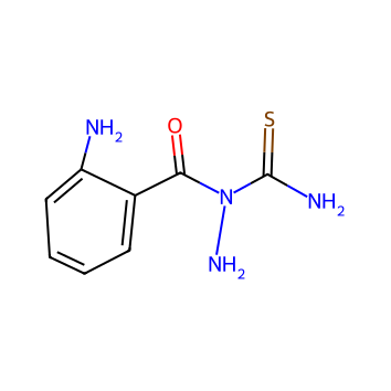 NC(=S)N(N)C(=O)c1ccccc1N